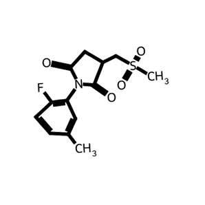 Cc1ccc(F)c(N2C(=O)CC(CS(C)(=O)=O)C2=O)c1